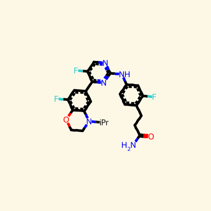 CC(C)N1CCOc2c(F)cc(-c3nc(Nc4ccc(CCC(N)=O)c(F)c4)ncc3F)cc21